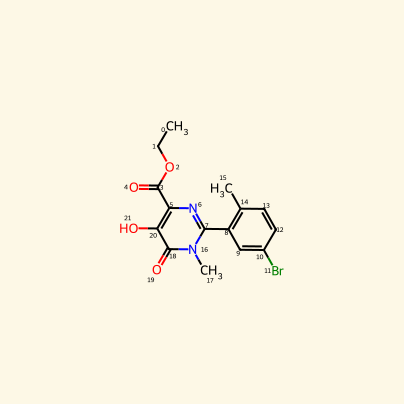 CCOC(=O)c1nc(-c2cc(Br)ccc2C)n(C)c(=O)c1O